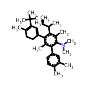 C=CC(C)c1c(C)c(N(C)C)c(-c2ccc(C)c(C)c2)c(C)c1C1=CC(C(C)(C)C)=C(C)CC1